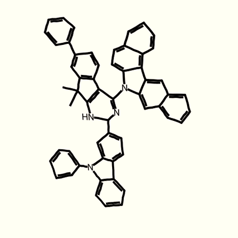 CC1(C)C2=C(C(n3c4cc5ccccc5cc4c4c5ccccc5ccc43)=NC(c3ccc4c5ccccc5n(-c5ccccc5)c4c3)N2)c2ccc(-c3ccccc3)cc21